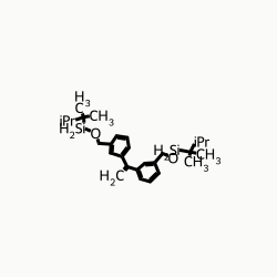 C=C(c1cccc(CO[SiH2]C(C)(C)C(C)C)c1)c1cccc(CO[SiH2]C(C)(C)C(C)C)c1